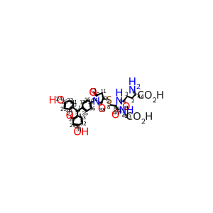 N[C@@H](CCC(=O)NC(CSC1CC(=O)N(c2ccc(C3c4ccc(O)cc4Oc4cc(O)ccc43)cc2)C1=O)C(=O)NCC(=O)O)C(=O)O